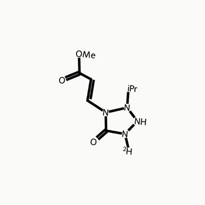 [2H]N1NN(C(C)C)N(/C=C/C(=O)OC)C1=O